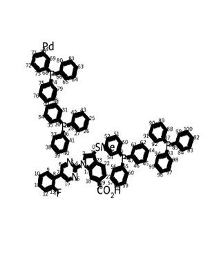 CSc1cn(-c2ncc(-c3ccccc3F)cn2)c2cc(C(=O)O)ccc12.[Pd].c1ccc(P(c2ccccc2)c2ccccc2)cc1.c1ccc(P(c2ccccc2)c2ccccc2)cc1.c1ccc(P(c2ccccc2)c2ccccc2)cc1.c1ccc(P(c2ccccc2)c2ccccc2)cc1